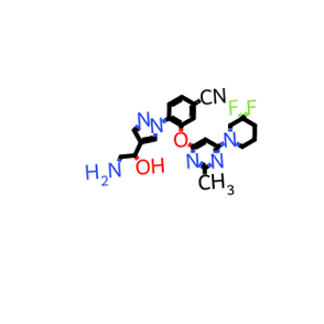 Cc1nc(Oc2cc(C#N)ccc2-n2cc(C(O)CN)cn2)cc(N2CCCC(F)(F)C2)n1